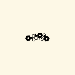 CC(C#N)(OC(=O)c1ccccc1)c1ccc2c(c1)Sc1ccccc1O2